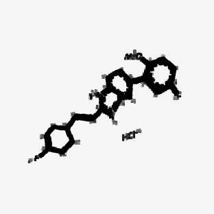 COc1ccc(F)cc1-c1ccc2[nH]c(C=CC3CC=C(F)CC3)nc2c1.Cl